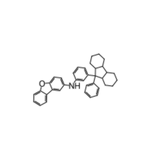 c1ccc(C2(c3cccc(Nc4ccc5oc6ccccc6c5c4)c3)C3CCCCC3C3CCCCC32)cc1